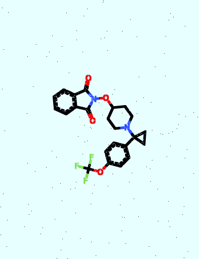 O=C1c2ccccc2C(=O)N1OC1CCN(C2(c3ccc(OC(F)(F)F)cc3)CC2)CC1